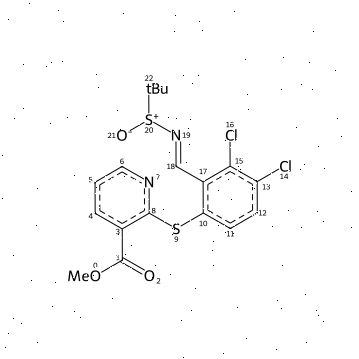 COC(=O)c1cccnc1Sc1ccc(Cl)c(Cl)c1C=N[S+]([O-])C(C)(C)C